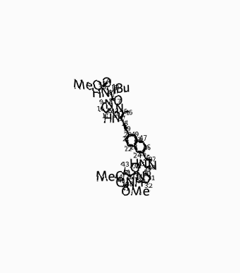 CC[C@H](C)[C@H](NC(=O)OC)C(=O)N1CCC[C@H]1c1nc(C)c(C#Cc2ccc3cc(-c4cnc([C@@H]5CCCN5C(=O)[C@@H](NC(=O)OC)[C@@H](C)OC)[nH]4)ccc3c2)[nH]1